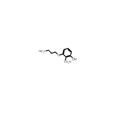 O=C(O)CCCOc1cccc(O)c1C(=O)O